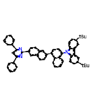 CC(C)(C)c1ccc2c(c1)c1cc(C(C)(C)C)ccc1n2-c1ccc(-c2ccc3cc(-c4nc(-c5ccccc5)cc(-c5ccccc5)n4)ccc3c2)c2ccccc12